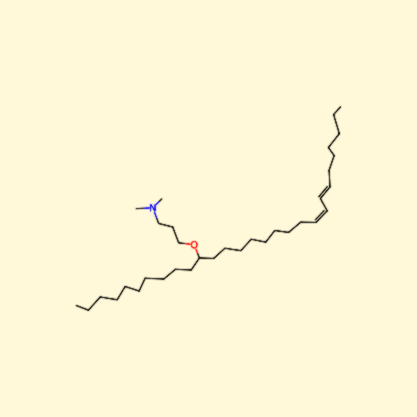 CCCCCC/C=C/C=C\CCCCCCCCC(CCCCCCCCCC)OCCCN(C)C